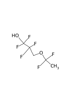 CC(F)(F)OCC(F)(F)C(O)(F)F